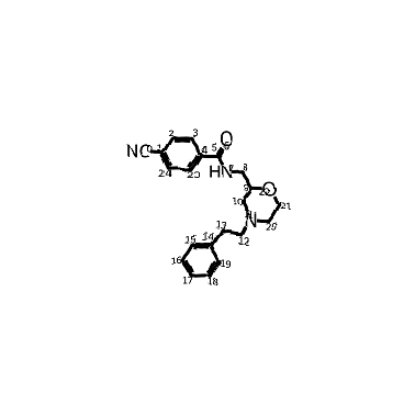 N#Cc1ccc(C(=O)NCC2CN(CCc3ccccc3)CCO2)cc1